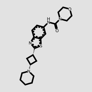 O=C(Nc1ccc2nc([C@H]3C[C@@H](N4CCCCC4)C3)sc2c1)N1CCOCC1